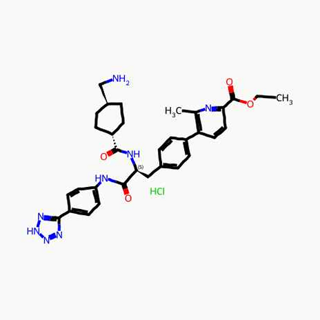 CCOC(=O)c1ccc(-c2ccc(C[C@H](NC(=O)[C@H]3CC[C@H](CN)CC3)C(=O)Nc3ccc(-c4nn[nH]n4)cc3)cc2)c(C)n1.Cl